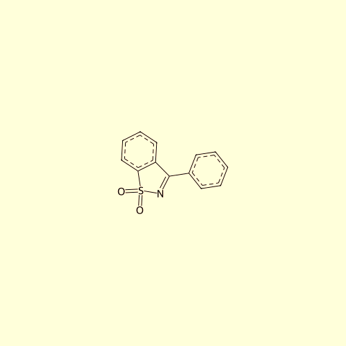 O=S1(=O)N=C(c2ccccc2)c2ccccc21